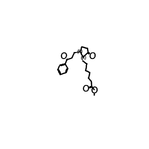 COC(=O)CCCCCC[C@H]1C(=O)CC[C@@H]1CCC(=O)c1ccccc1